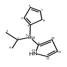 C[CH](C)[Ru]([C]1=CC=CC1)[c]1ccc[nH]1